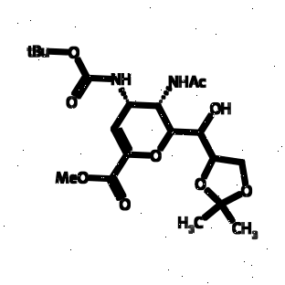 COC(=O)C1=C[C@H](NC(=O)OC(C)(C)C)[C@H](NC(C)=O)C(C(O)C2COC(C)(C)O2)O1